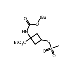 CCOC(=O)C1(NC(=O)OC(C)(C)C)CC(OS(C)(=O)=O)C1